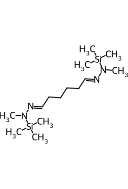 CN(/N=C/CCCC/C=N/N(C)[Si](C)(C)C)[Si](C)(C)C